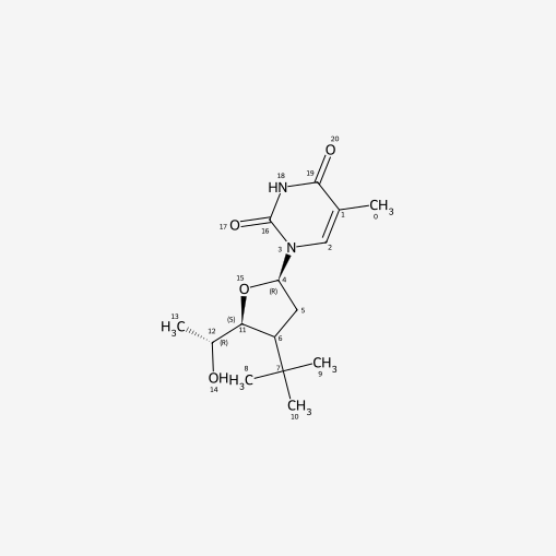 Cc1cn([C@H]2CC(C(C)(C)C)[C@@H]([C@@H](C)O)O2)c(=O)[nH]c1=O